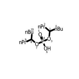 CCCCC(CCC)OP(=O)(O)OC(CCC)CCCC